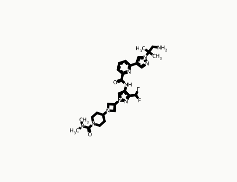 CN(C)C(=O)N1CCC(N2CC(n3cc(NC(=O)c4cccc(-c5cnn(C(C)(C)CN)c5)n4)c(C(F)F)n3)C2)CC1